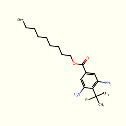 CCCCCCCCCCCCCCCCCCOC(=O)c1cc(N)c(C(C)(C)C(C)C)c(N)c1